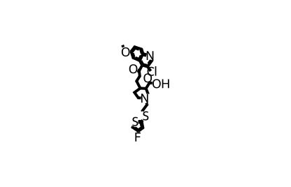 COc1ccc2ncc(Cl)c(C(=O)CCC3CCN(CCSc4cc(F)cs4)CC3C(=O)O)c2c1